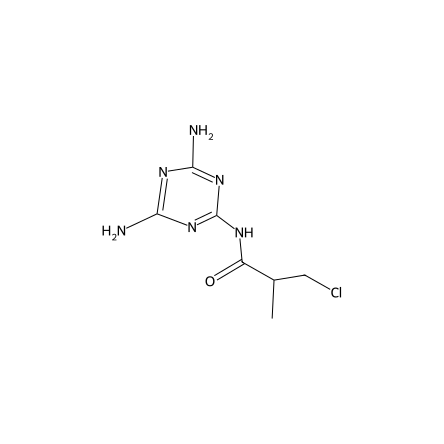 CC(CCl)C(=O)Nc1nc(N)nc(N)n1